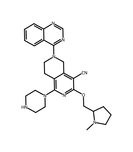 CN1CCCC1COc1nc(N2CCNCC2)c2c(c1C#N)CN(c1ncnc3ccccc13)CC2